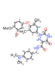 COc1ccc(Oc2c(C)cc(-n3nc(C(=O)NCc4ccc(N(C)C)cc4)c(=O)[nH]c3=O)cc2C)cc1Br